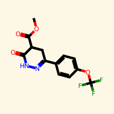 COC(=O)C1CC(c2ccc(OC(F)(F)F)cc2)=NNC1=O